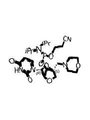 CC(C)N(C(C)C)P(OCCC#N)OC1C2OC[C@]1(CN1CCOCC1)O[C@H]2n1ccc(=O)[nH]c1=O